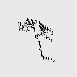 CO[SiH](OC)C(C)CCN(CCCCCCCCCN)CCC(C)[SiH](OC)OC